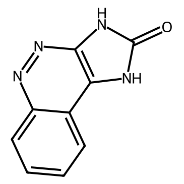 O=c1[nH]c2nnc3ccccc3c2[nH]1